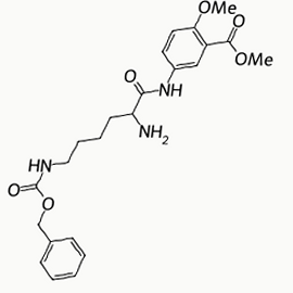 COC(=O)c1cc(NC(=O)C(N)CCCCNC(=O)OCc2ccccc2)ccc1OC